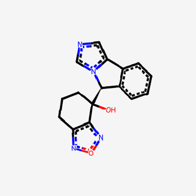 OC1([C@@H]2c3ccccc3-c3cncn32)CCCc2nonc21